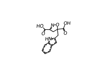 O=C(O)C1=NOC(Cc2cc3ccccc3[nH]2)(C(=O)O)C1